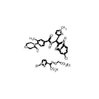 CCOC(=O)CON=C(C(=O)O)c1ccn(CC)n1.Cc1cc(C(=O)NC(c2ccn(C)n2)c2nc3cc(Cl)ccc3[nH]2)ccc1N1CCOCC1=O